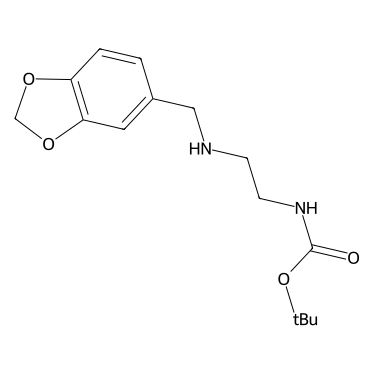 CC(C)(C)OC(=O)NCCNCc1ccc2c(c1)OCO2